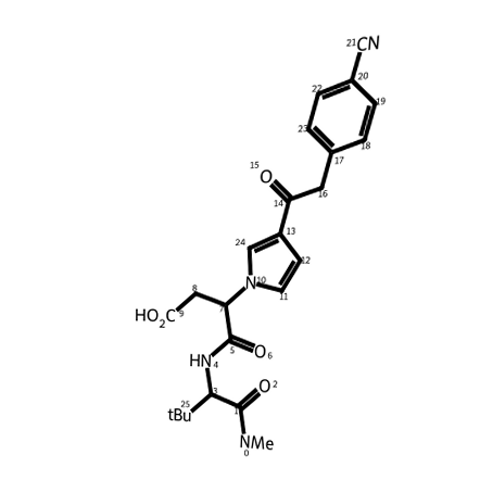 CNC(=O)C(NC(=O)C(CC(=O)O)n1ccc(C(=O)Cc2ccc(C#N)cc2)c1)C(C)(C)C